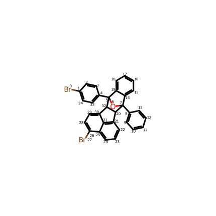 Brc1ccc(C23OC(c4ccccc4)(c4ccccc42)C2c4cccc5c(Br)ccc(c45)C23)cc1